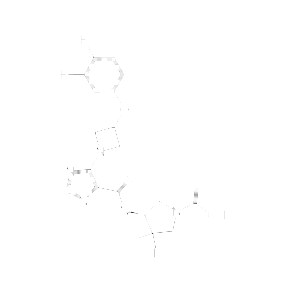 CC(=O)N1C[C@H](NC(=O)c2nsnc2N2CC(Oc3ccc(F)c(F)c3)C2)C(F)(F)C1